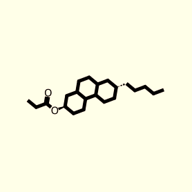 CCCCC[C@@H]1CCC2C(CCC3C[C@H](OC(=O)CC)CCC32)C1